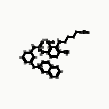 CCCCCCCCCCCCCCOc1c(O)ccc(O[PH](=O)Oc2cccc(C[n+]3ccc4ccccc4c3)c2)c1OC